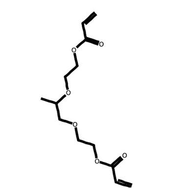 C=CC(=O)OCCOCC(C)OCCOC(=O)C=C